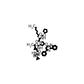 C=CCCCCC[C@H](NC(=O)OC1CCCC1)C(=O)N1C[C@H](Oc2cc(-c3ccccc3)nc3c4ccccc4nn23)C[C@H]1C(=O)N[C@]1(C(=O)NS(=O)(=O)C2CC2)CC1C=C